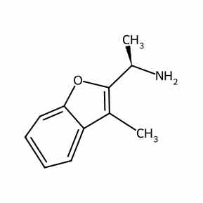 Cc1c([C@@H](C)N)oc2ccccc12